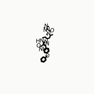 CC(CC1CCNc2c(C(N)=O)c(-c3ccc(Oc4ccccc4)cc3)nn21)N(C)C(=O)n1cncn1